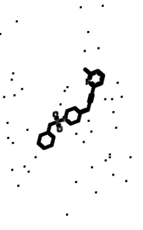 Cc1cccc(C#CC=C2CCN(S(=O)(=O)CC3CCCCC3)CC2)n1